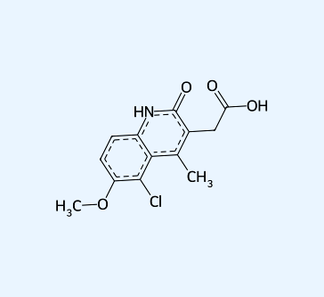 COc1ccc2[nH]c(=O)c(CC(=O)O)c(C)c2c1Cl